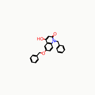 O=c1cc(O)c2cc(OCc3ccccc3)ccc2n1Cc1ccccc1